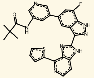 CC(C)(C)C(=O)Nc1cncc(-c2cc(F)c3[nH]nc(-c4nc5c(-c6cccs6)nccc5[nH]4)c3c2)c1